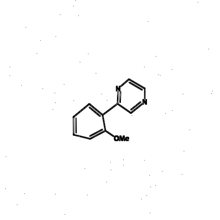 COc1ccccc1-c1cnccn1